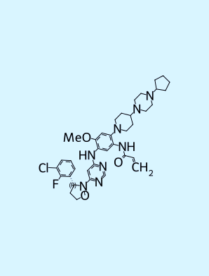 C=CC(=O)Nc1cc(Nc2cc(N3OCC[C@@H]3c3cccc(Cl)c3F)ncn2)c(OC)cc1N1CCC(N2CCN(C3CCCC3)CC2)CC1